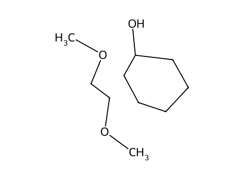 COCCOC.OC1CCCCC1